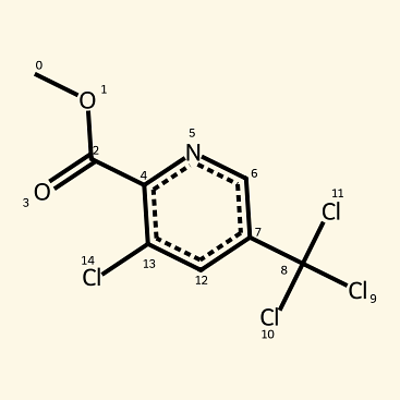 COC(=O)c1ncc(C(Cl)(Cl)Cl)cc1Cl